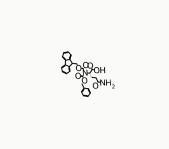 NC(=O)CC[C@@H](C(=O)O)N(C(=O)OCc1ccccc1)C(=O)OCC1c2ccccc2-c2ccccc21